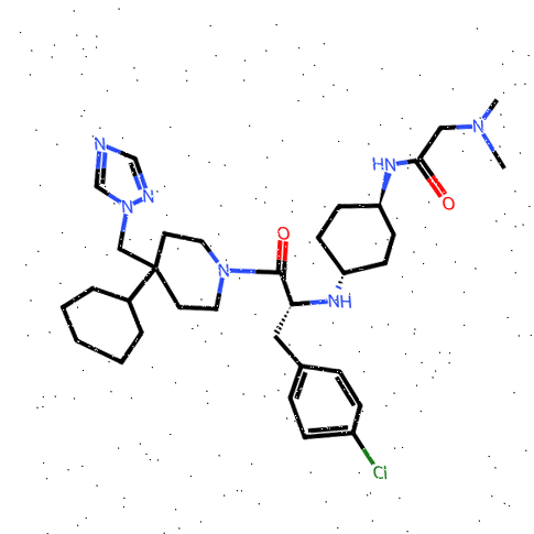 CN(C)CC(=O)N[C@H]1CC[C@H](N[C@H](Cc2ccc(Cl)cc2)C(=O)N2CCC(Cn3cncn3)(C3CCCCC3)CC2)CC1